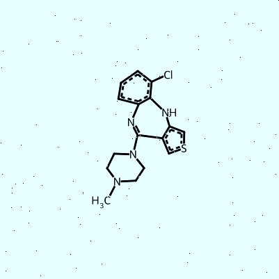 CN1CCN(C2=Nc3cccc(Cl)c3Nc3cscc32)CC1